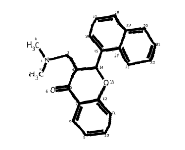 CN(C)CC1C(=O)c2ccccc2OC1c1cccc2ccccc12